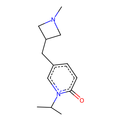 CC(C)n1cc(CC2CN(C)C2)ccc1=O